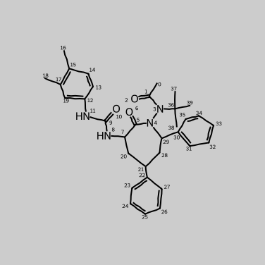 CC(=O)N(N1C(=O)C(NC(=O)Nc2ccc(C)c(C)c2)CC(c2ccccc2)CC1c1ccccc1)C(C)(C)C